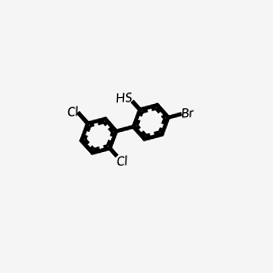 Sc1cc(Br)ccc1-c1cc(Cl)ccc1Cl